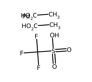 CC(=O)O.CC(=O)O.O=S(=O)(O)C(F)(F)F.[Pd]